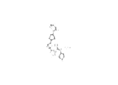 CO[C@@H](C(=O)N1CCC[C@H]1c1ncc(-c2ccc(-c3ccccn3)cc2)[nH]1)c1ccccc1